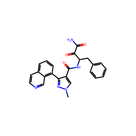 Cn1cc(C(=O)NC(Cc2ccccc2)C(=O)C(N)=O)c(-c2cccc3ccncc23)n1